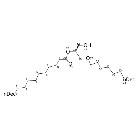 CCCCCCCCCCCCCCCCCCCC(=O)O[C@@H](CO)COCCCCCCCCCCCCCCCC